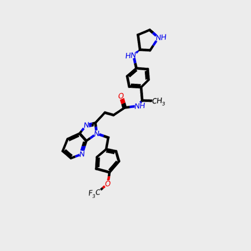 CC(NC(=O)CCc1nc2cccnc2n1Cc1ccc(OC(F)(F)F)cc1)c1ccc(N[C@H]2CCNC2)cc1